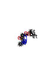 CCC(C)(C)c1ccc(OCC(=O)Nc2cccc3c2CC(Sc2nnnn2-c2ccccc2)C3=O)c(C(C)(C)CC)c1